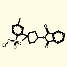 CCOS(=O)(=O)c1ccc(C)cc1C1(C)CCC(N2C(=O)c3ccccc3C2=O)CC1